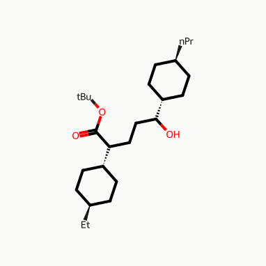 CCC[C@H]1CC[C@H](C(O)CCC(C(=O)OC(C)(C)C)[C@H]2CC[C@H](CC)CC2)CC1